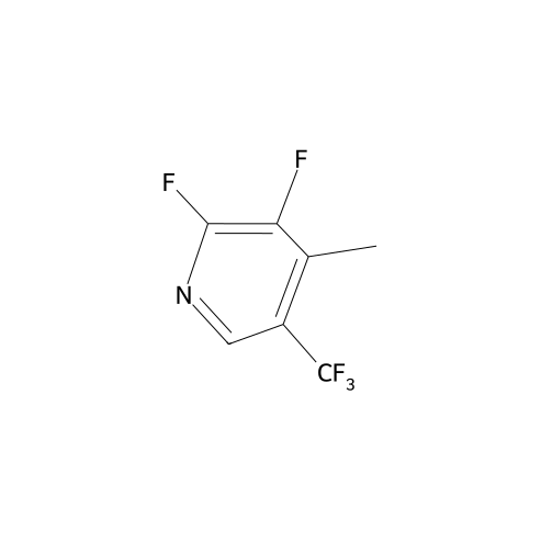 Cc1c(C(F)(F)F)cnc(F)c1F